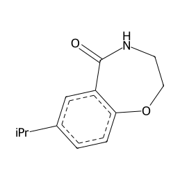 CC(C)c1ccc2c(c1)C(=O)NCCO2